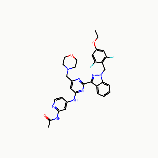 CCOc1cc(F)c(Cn2nc(-c3nc(CN4CCOCC4)cc(Nc4ccnc(NC(C)=O)c4)n3)c3ccccc32)c(F)c1